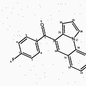 O=C(c1ccc(F)cc1)c1cc2ccccc2n2cccc12